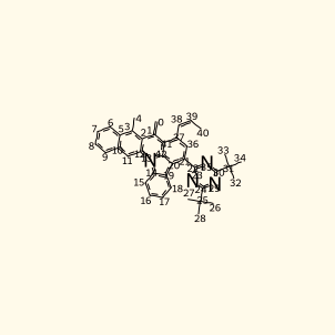 C=c1c2c(C)c3ccccc3cc2n2c3ccccc3c3c(-c4nc(C(C)(C)C)nc(C(C)(C)C)n4)cc(/C=C\C)c1c32